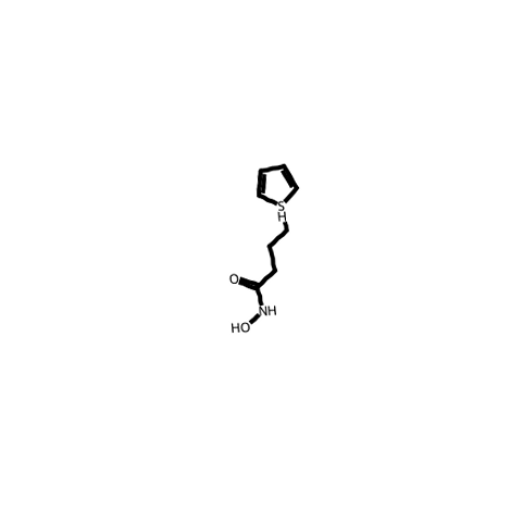 O=C(CCC[SH]1C=CC=C1)NO